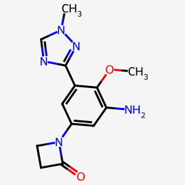 COc1c(N)cc(N2CCC2=O)cc1-c1ncn(C)n1